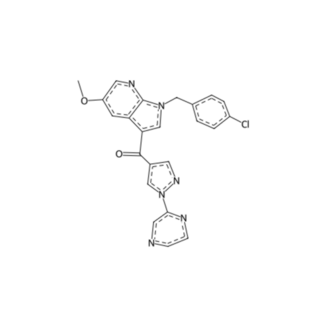 COc1cnc2c(c1)c(C(=O)c1cnn(-c3cnccn3)c1)cn2Cc1ccc(Cl)cc1